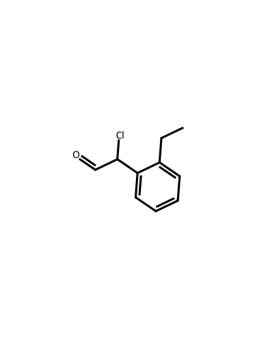 CCc1ccccc1C(Cl)C=O